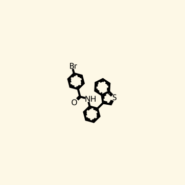 O=C(Nc1ccccc1-c1csc2ccccc12)c1ccc(Br)cc1